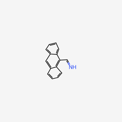 N=Cc1c2ccccc2cc2ccccc12